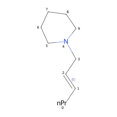 [CH2]CC/C=C/CN1CCCCC1